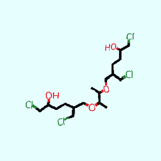 CC(OCC(CCl)CCC(O)CCl)C(C)OCC(CCl)CCC(O)CCl